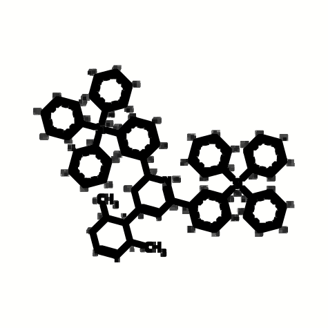 CC1C=CCC(C)C1C1=CC(c2cccc([Si](c3ccccc3)(c3ccccc3)c3ccccc3)c2)=NC(c2cccc([Si](c3ccccc3)(c3ccccc3)c3ccccc3)c2)C1